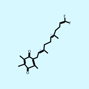 CC1=C(C)C(=O)C(C/C=C(\C)CC/C=C(\C)CCC=C(F)F)=C(C)C1=O